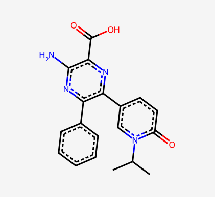 CC(C)n1cc(-c2nc(C(=O)O)c(N)nc2-c2ccccc2)ccc1=O